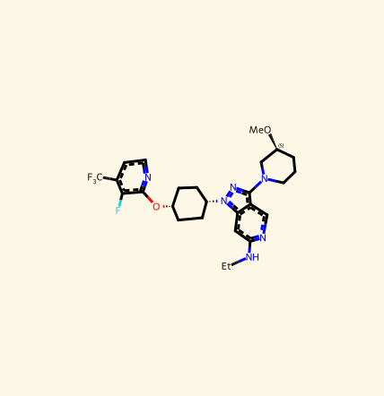 CCNc1cc2c(cn1)c(N1CCC[C@H](OC)C1)nn2[C@H]1CC[C@@H](Oc2nccc(C(F)(F)F)c2F)CC1